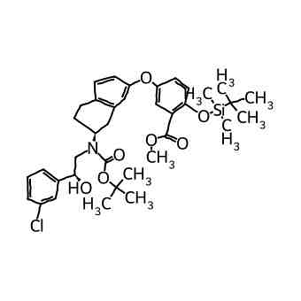 COC(=O)c1cc(Oc2ccc3c(c2)C[C@@H](N(C[C@@H](O)c2cccc(Cl)c2)C(=O)OC(C)(C)C)CC3)ccc1O[Si](C)(C)C(C)(C)C